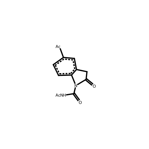 CC(=O)NC(=O)N1C(=O)Cc2cc(C(C)=O)ccc21